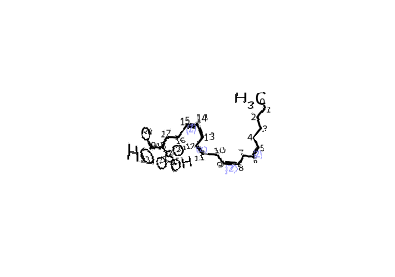 CCCCC/C=C\C/C=C\C/C=C\C/C=C\CCC(C(=O)O)S(=O)(=O)O